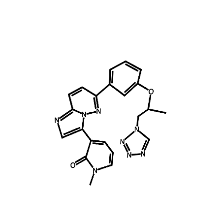 CC(Cn1cnnn1)Oc1cccc(-c2ccc3ncc(-c4cccn(C)c4=O)n3n2)c1